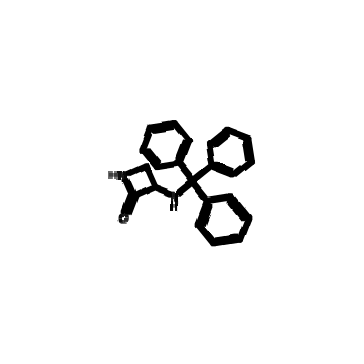 O=C1NCC1NC(c1ccccc1)(c1ccccc1)c1ccccc1